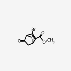 COC(=O)C1=C(Br)C2OC1CC2=O